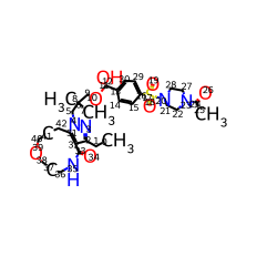 CCc1nn(CC(C)(C)COC(O)c2ccc(S(=O)(=O)N3CCN(C(C)=O)CC3)cc2)c2c1C(=O)NCCCOCCC2